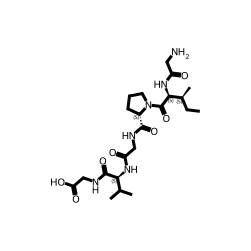 CC[C@H](C)[C@H](NC(=O)CN)C(=O)N1CCC[C@H]1C(=O)NCC(=O)N[C@H](C(=O)NCC(=O)O)C(C)C